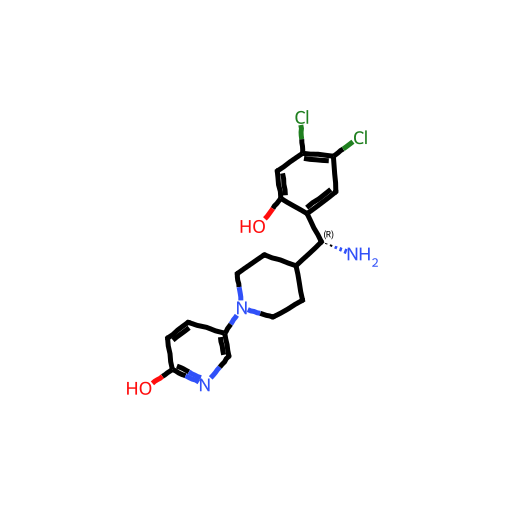 N[C@@H](c1cc(Cl)c(Cl)cc1O)C1CCN(c2ccc(O)nc2)CC1